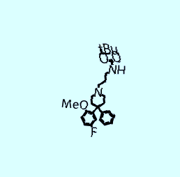 COc1ccc(F)cc1C1(c2ccccc2)CCN(CCCNC(=O)OC(C)(C)C)CC1